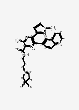 Cn1ccc(-c2nc(N)c(C(=O)NCCCN3CCC(F)(F)C3)nc2-c2ccc3ncccc3c2)n1